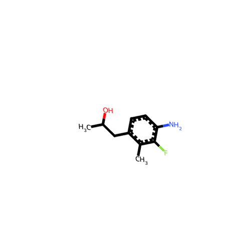 Cc1c(CC(C)O)ccc(N)c1F